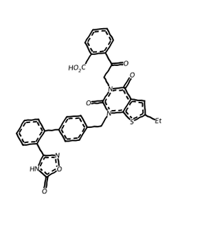 CCc1cc2c(=O)n(CC(=O)c3ccccc3C(=O)O)c(=O)n(Cc3ccc(-c4ccccc4-c4noc(=O)[nH]4)cc3)c2s1